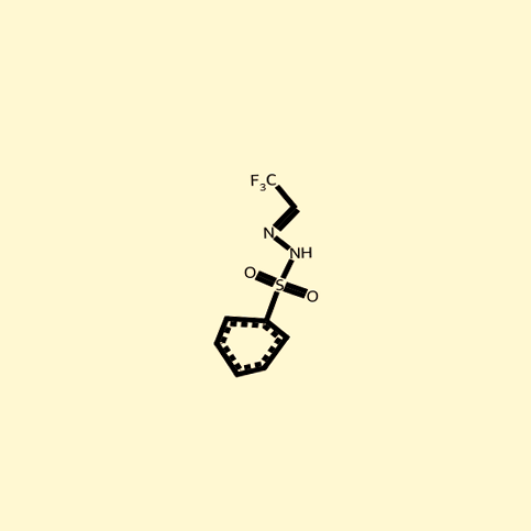 O=S(=O)(NN=CC(F)(F)F)c1ccccc1